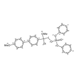 CCC(COP(=O)(Oc1ccccc1)Oc1ccccc1)(OC)c1ccc(-c2ccc(OC)cc2)cc1